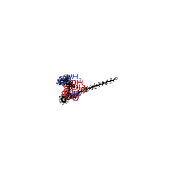 CCCCCCCCCCCCCCCCOCCCOC(=O)C(C)NP(=O)(OCC1O[C@@H](n2cc(C(N)=S)c3c(N)ncnc32)[C@H](O)[C@H]1O)Oc1ccccc1